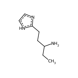 CCC(N)CCc1ncc[nH]1